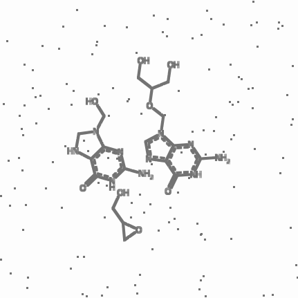 Nc1nc2c(c(=O)[nH]1)NCN2CO.Nc1nc2c(ncn2COC(CO)CO)c(=O)[nH]1.OCC1CO1